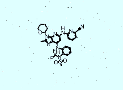 Cc1nc2c(Nc3ccccc3N(C(F)F)S(C)(=O)=O)cc(Nc3cccc(C#N)n3)nc2n1C1CCCCO1